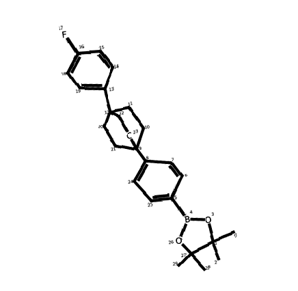 CC1(C)OB(c2ccc(C34CCC(c5ccc(F)cc5)(CC3)CC4)cc2)OC1(C)C